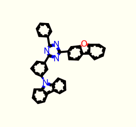 c1ccc(-c2nc(-c3cccc(-n4c5ccccc5c5ccccc54)c3)nc(-c3ccc4c(c3)oc3ccccc34)n2)cc1